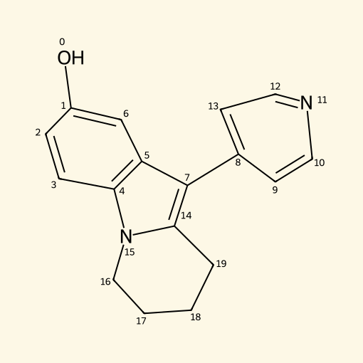 Oc1ccc2c(c1)c(-c1ccncc1)c1n2CCCC1